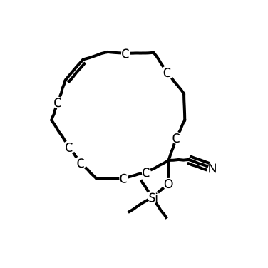 C[Si](C)(C)OC1(C#N)CCCCCCC/C=C\CCCCCCC1